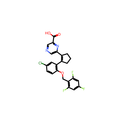 O=C(O)c1cncc(C2=C(c3cc(Cl)ccc3OCc3c(F)cc(F)cc3F)CCC2)n1